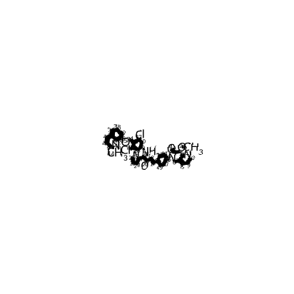 COCC(=O)N(Cc1cccnc1)c1ccc(/C=C/C(=O)C(N)c2cccn2-c2ccc(Cl)c(COc3cccc4ccc(C)nc34)c2Cl)cc1